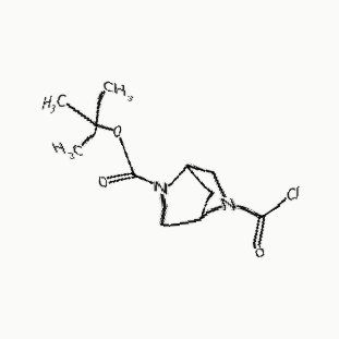 CC(C)(C)OC(=O)N1CC2CC1CN2C(=O)Cl